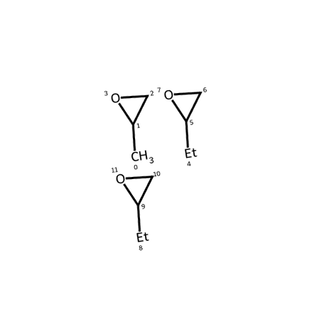 CC1CO1.CCC1CO1.CCC1CO1